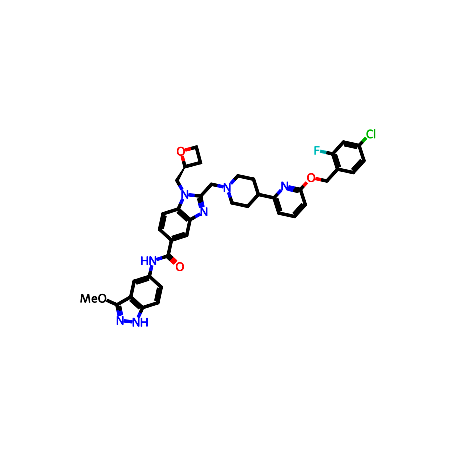 COc1n[nH]c2ccc(NC(=O)c3ccc4c(c3)nc(CN3CCC(c5cccc(OCc6ccc(Cl)cc6F)n5)CC3)n4C[C@@H]3CCO3)cc12